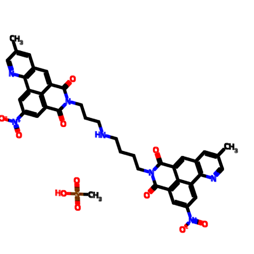 CS(=O)(=O)O.Cc1cnc2c(c1)cc1c3c(cc([N+](=O)[O-])cc32)C(=O)N(CCCCNCCCN2C(=O)c3cc([N+](=O)[O-])cc4c3c(cc3cc(C)cnc34)C2=O)C1=O